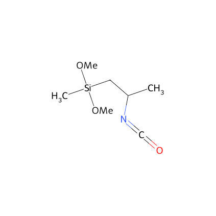 CO[Si](C)(CC(C)N=C=O)OC